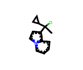 [CH2]C(Cl)(c1ccn2ccccc12)C1CC1